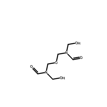 O=CN(CO)COCN(C=O)CO